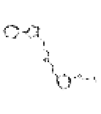 CCOc1cccc(C[CH]NCCCn2cc(-c3ccccc3)nn2)c1